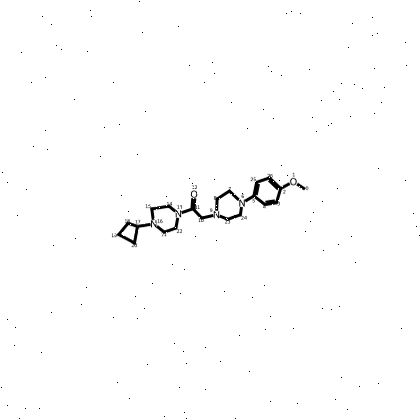 COc1ccc(N2CCN(CC(=O)N3CCN(C4CCC4)CC3)CC2)cc1